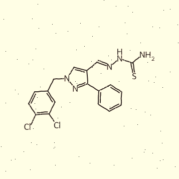 NC(=S)NN=Cc1cn(Cc2ccc(Cl)c(Cl)c2)nc1-c1ccccc1